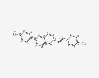 Clc1ccc(/C=C/c2ccc3cc(-c4ccc(Cl)cc4)ccc3c2)cc1